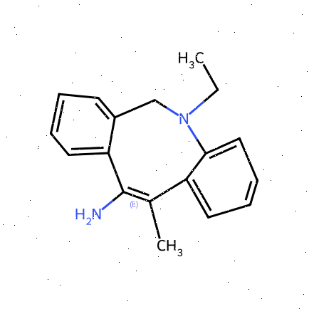 CCN1Cc2ccccc2/C(N)=C(/C)c2ccccc21